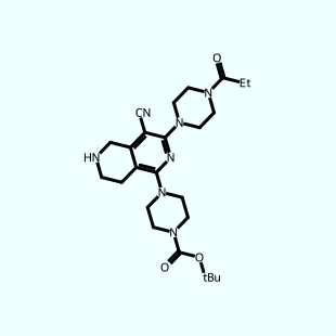 CCC(=O)N1CCN(c2nc(N3CCN(C(=O)OC(C)(C)C)CC3)c3c(c2C#N)CNCC3)CC1